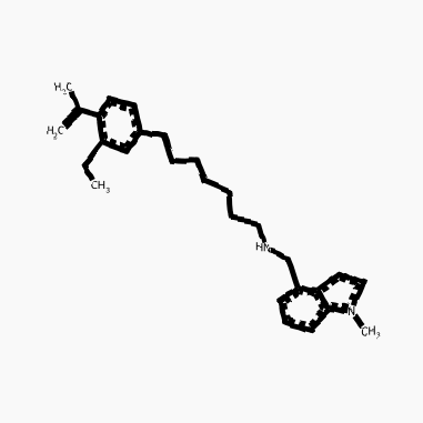 C=C(C)c1ccc(CCCCCCCNCc2cccc3c2ccn3C)cc1CC